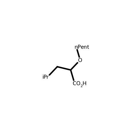 CCCCCOC(CC(C)C)C(=O)O